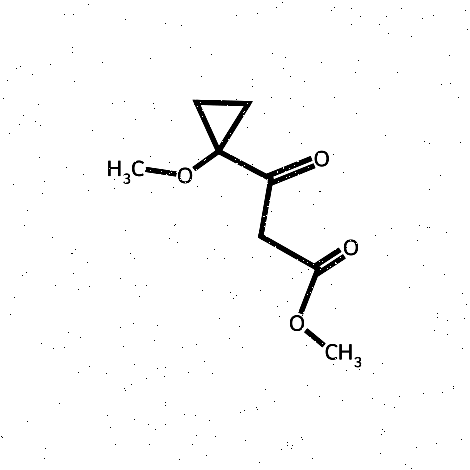 COC(=O)CC(=O)C1(OC)CC1